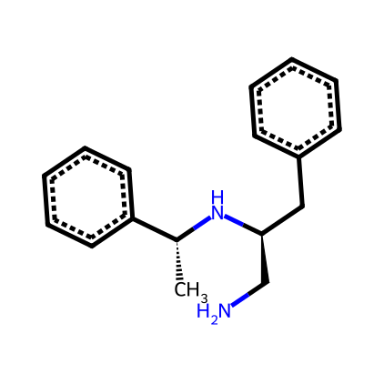 C[C@@H](N[C@H](CN)Cc1ccccc1)c1ccccc1